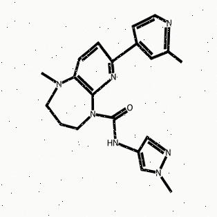 Cc1cc(-c2ccc3c(n2)N(C(=O)Nc2cnn(C)c2)CCCN3C)ccn1